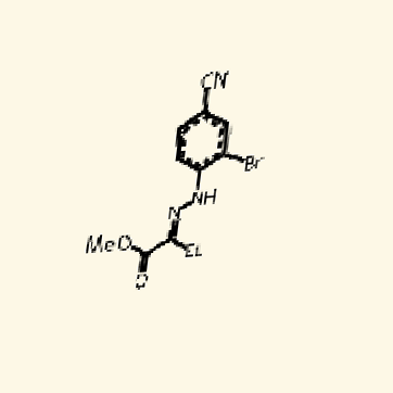 CC/C(=N\Nc1ccc(C#N)cc1Br)C(=O)OC